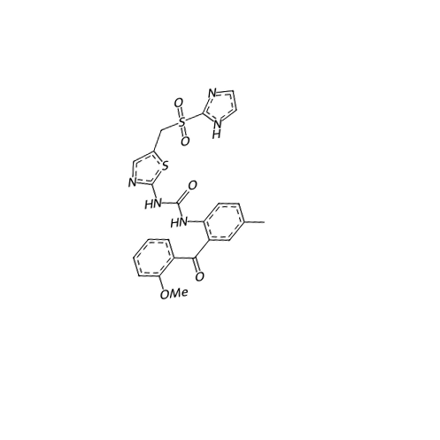 COc1ccccc1C(=O)c1cc(C)ccc1NC(=O)Nc1ncc(CS(=O)(=O)c2ncc[nH]2)s1